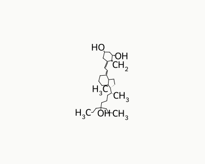 C=C1/C(=C\C=C2CCC[C@@]3(C)C2CC[C@@H]3[C@H](C)CCCC(O)(CCC)CCC)C[C@@H](O)C[C@H]1O